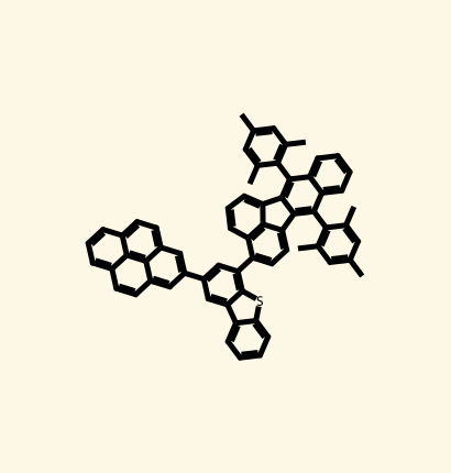 Cc1cc(C)c(-c2c3c(c(-c4c(C)cc(C)cc4C)c4ccccc24)-c2ccc(-c4cc(-c5cc6ccc7cccc8ccc(c5)c6c78)cc5c4sc4ccccc45)c4cccc-3c24)c(C)c1